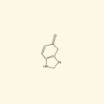 O=C1C=CC2=C(C1)[Se]CN2